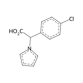 O=C(O)C(c1ccc(Cl)cc1)n1cccc1